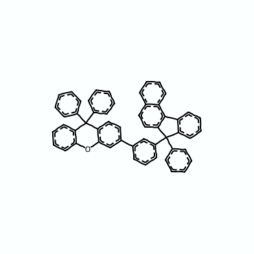 c1ccc(C2(c3ccccc3)c3ccccc3Oc3cc(-c4cccc(C5(c6ccccc6)c6ccccc6-c6c5ccc5ccccc65)c4)ccc32)cc1